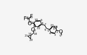 COc1ccc(CCc2ccc(OC(F)F)c(OCC3CC3)c2)cn1